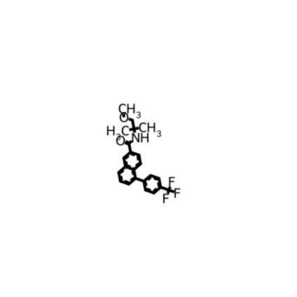 COCC(C)(C)NC(=O)c1ccc2c(-c3ccc(C(F)(F)F)cc3)cccc2c1